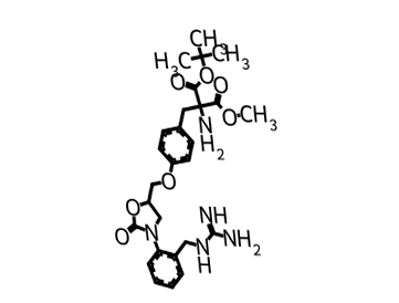 COC(=O)C(N)(Cc1ccc(OCC2CN(c3ccccc3CNC(=N)N)C(=O)O2)cc1)C(=O)OC(C)(C)C